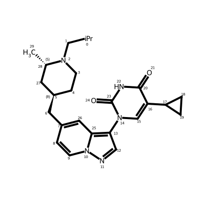 CC(C)CN1CC[C@@H](Cc2ccn3ncc(-n4cc(C5CC5)c(=O)[nH]c4=O)c3c2)C[C@@H]1C